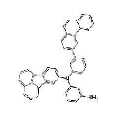 Nc1cccc(N(c2cccc(-c3ccc4ccc5ccccc5c4c3)c2)c2ccc3c(c2)-c2cccc4cccc-3c24)c1